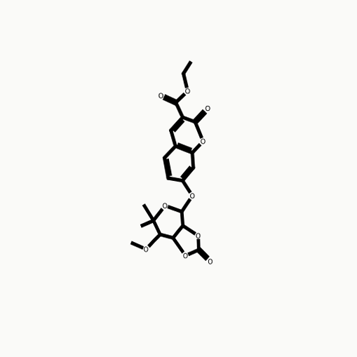 CCOC(=O)c1cc2ccc(OC3OC(C)(C)C(OC)C4OC(=O)OC34)cc2oc1=O